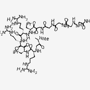 CN[C@@H](C)C(=O)CN[C@@H](CCCNC(N)N)C(=O)N[C@@H](CC(C)C)C(=O)C(=O)[C@H](CCCNC(N)N)NC(=O)[C@H](CCCNC(N)N)NN[C@@H](CC(C)C)C(=O)C(=O)CNC(=O)CNC(=O)CNC(=O)CNNCC(N)=O